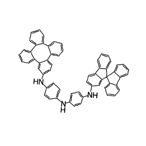 c1ccc2c(c1)-c1ccccc1-c1ccc(Nc3ccc(Nc4ccc(Nc5ccc6c(c5)C5(c7ccccc7-c7ccccc75)c5ccccc5-6)cc4)cc3)cc1-c1ccccc1-2